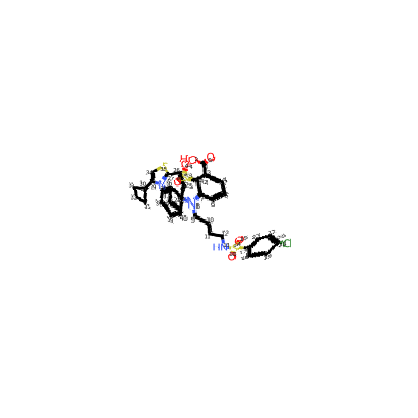 O=C(O)C1=CC=CC(N(CCCCNS(=O)(=O)c2ccc(Cl)cc2)C2(C=Cc3nc(C4CCC4)cs3)C3=CC=CC2=C3)C1=S(=O)=O